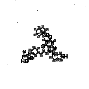 Cn1c(=O)n(CC(=O)C23CC4CC(CC(C4)C2)C3)c(=O)c2c1nc(N1CCC3CNCC31)n2CC=Cc1ccccc1.O=C(O)C(F)(F)F